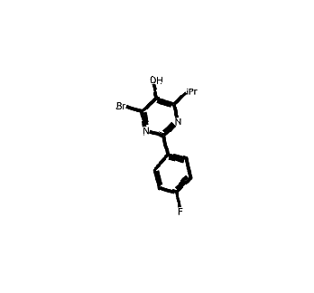 CC(C)c1nc(-c2ccc(F)cc2)nc(Br)c1O